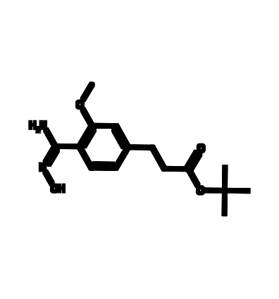 COc1cc(CCC(=O)OC(C)(C)C)ccc1/C(N)=N\O